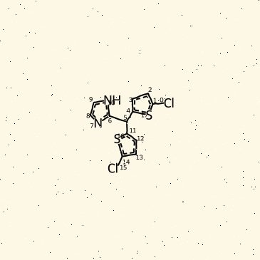 Clc1ccc(C(c2ncc[nH]2)c2ccc(Cl)s2)s1